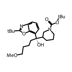 COCCCC[C@@](O)(c1cccc2nc(C(C)(C)C)oc12)C1CCCN(C(=O)OC(C)(C)C)C1